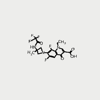 CCn1cc(C(=O)O)c(=O)c2cc(F)c(N3CC(C)(NC(=O)C(F)(F)F)C3)c(F)c21